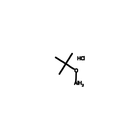 CC(C)(C)[O][AlH2].Cl